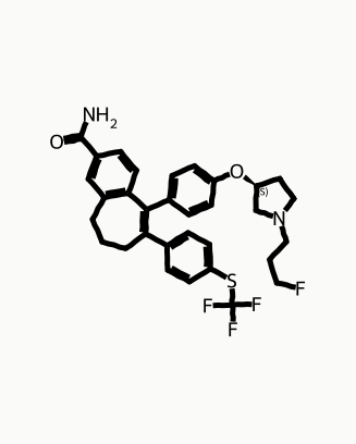 NC(=O)c1ccc2c(c1)CCCC(c1ccc(SC(F)(F)F)cc1)=C2c1ccc(O[C@H]2CCN(CCCF)C2)cc1